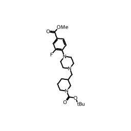 COC(=O)c1ccc(N2CCN(CC3CCCN(C(=O)OC(C)(C)C)C3)CC2)c(F)c1